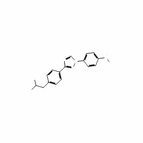 CCC(N)Cc1ccc(-c2ncn(-c3ccc(OC(F)(F)F)cc3)n2)cc1